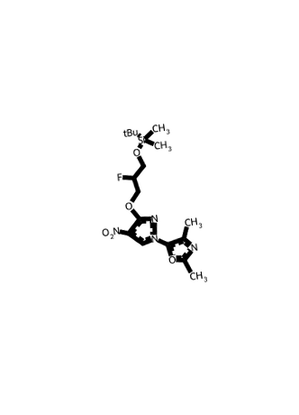 Cc1nc(C)c(-n2cc([N+](=O)[O-])c(OCC(F)CO[Si](C)(C)C(C)(C)C)n2)o1